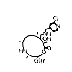 CC[C@H]1OC(=O)C(C)[C@@](O)(CNCc2ccnc(Cl)c2)[C@H](C)CCC[C@@H](C)CN[C@H](C)C[C@]1(C)O